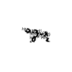 CCCNC(=O)C1(C)COC(c2nc(-c3ccc(F)cc3)c(-c3ccnc(NC4CCNCC4)n3)[nH]2)OC1